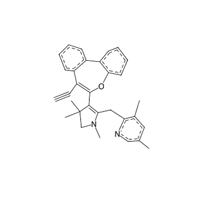 C#CC1=C(C2=C(Cc3ncc(C)cc3C)N(C)CC2(C)C)Oc2ccccc2-c2ccccc21